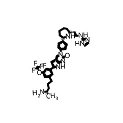 C[C@H](N)CCCc1cc(OC(F)(F)F)c(F)c(-c2cc3cn(-c4ccc([C@@H]5CCCC[C@@H](CCNc6ncc[nH]6)N5)cc4)c(=O)nc3[nH]2)c1